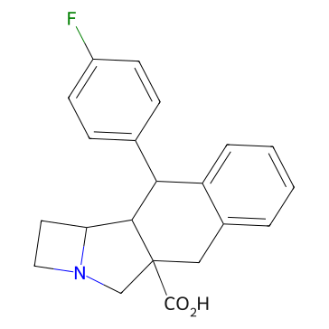 O=C(O)C12Cc3ccccc3C(c3ccc(F)cc3)C1C1CCN1C2